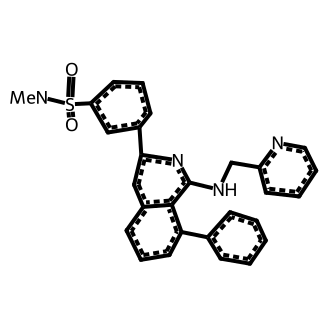 CNS(=O)(=O)c1cccc(-c2cc3cccc(-c4ccccc4)c3c(NCc3ccccn3)n2)c1